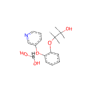 CC(C)(O)C(C)(C)Oc1ccccc1Oc1cccnc1.OBO